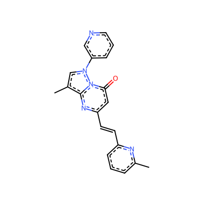 Cc1cccc(/C=C/c2cc(=O)n3c(n2)c(C)cn3-c2cccnc2)n1